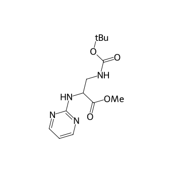 COC(=O)C(CNC(=O)OC(C)(C)C)Nc1ncccn1